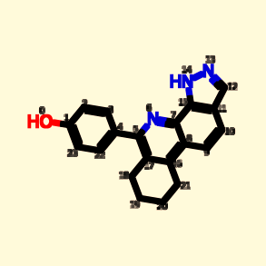 Oc1ccc(-c2nc3c(ccc4cn[nH]c43)c3c2CCCC3)cc1